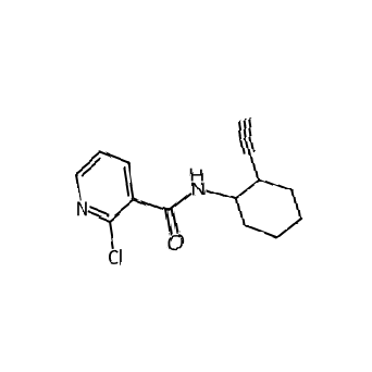 C#CC1CCCCC1NC(=O)c1cccnc1Cl